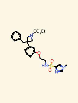 CCOC(=O)N1CC(Cc2ccccc2)(c2cccc(OCCNS(=O)(=O)c3cn(C)cn3)c2)C1